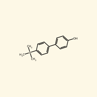 C[Si](C)(C)c1ccc(-c2ccc(O)cc2)cc1